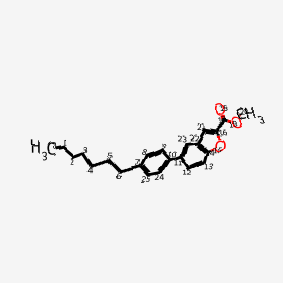 CCCCCCCc1ccc(-c2ccc3oc(C(=O)OC)cc3c2)cc1